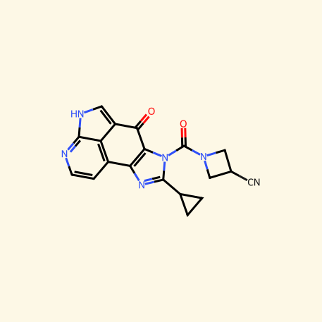 N#CC1CN(C(=O)n2c(C3CC3)nc3c2C(=O)c2c[nH]c4nccc-3c24)C1